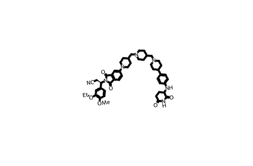 CCOc1cc([C@@H](CC#N)N2C(=O)c3ccc(N4CCC(CN5CCC(CN6CCC(c7ccc(NC8CCC(=O)NC8=O)cc7)CC6)CC5)CC4)cc3C2=O)ccc1OC